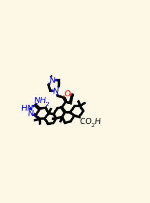 CN1CCN(Cc2occc2C2=C3C4CC(C)(C)C[C@@H](C(=O)O)C4CCC3(C)C3(C)CCC4C(C)(C)c5n[nH]c(N)c5CC4(C)C3C2)CC1